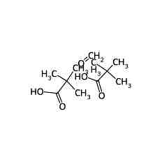 C=O.CC(C)(C)C(=O)O.CC(C)(C)C(=O)O